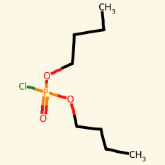 CCCCOP(=O)(Cl)OCCCC